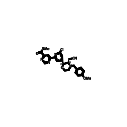 CNC(=O)c1cc(-c2cc([C@@H]3OCCN(Cc4ccc(OC)cc4)[C@H]3CC#N)cc(Cl)n2)ncn1